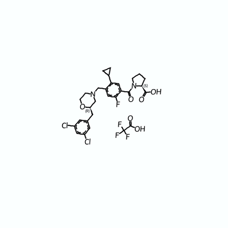 O=C(O)C(F)(F)F.O=C(O)[C@@H]1CCCN1C(=O)c1cc(C2CC2)c(CN2CCO[C@H](Cc3cc(Cl)cc(Cl)c3)C2)cc1F